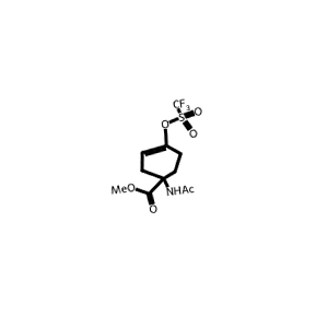 COC(=O)C1(NC(C)=O)CC=C(OS(=O)(=O)C(F)(F)F)CC1